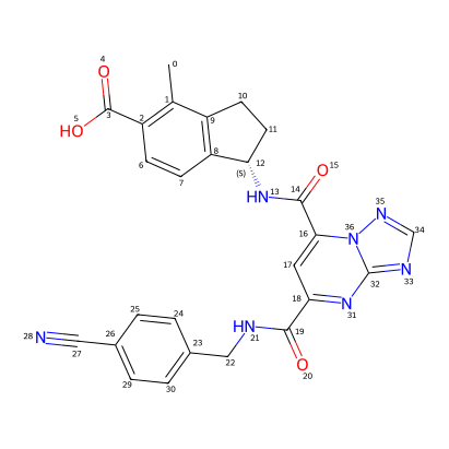 Cc1c(C(=O)O)ccc2c1CC[C@@H]2NC(=O)c1cc(C(=O)NCc2ccc(C#N)cc2)nc2ncnn12